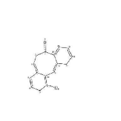 O=C1C/C=C2/C=CCC(Cl)=C2/C=C2/CC=CC=C12